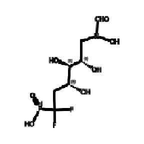 O=CN(O)C[C@H](O)[C@H](O)[C@H](O)CC(F)(F)[PH](=O)O